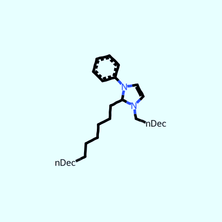 CCCCCCCCCCCCCCCCC1N(CCCCCCCCCCC)C=CN1c1ccccc1